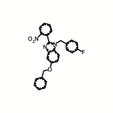 O=[N+]([O-])c1ccccc1-c1nc2cc(OCc3ccccc3)ccc2n1Cc1ccc(F)cc1